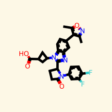 Cc1noc(C)c1-c1ccc2c(c1)nc(C1CCC(=O)N1c1ccc(F)c(F)c1)n2C1CC(C(=O)O)C1